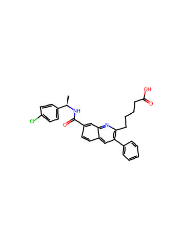 C[C@@H](NC(=O)c1ccc2cc(-c3ccccc3)c(CCCCC(=O)O)nc2c1)c1ccc(Cl)cc1